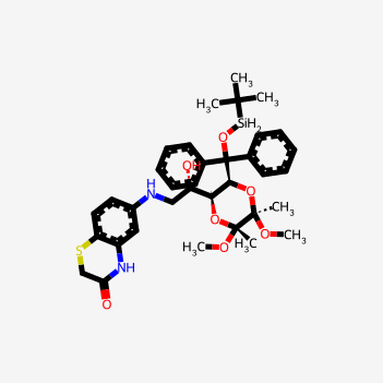 CO[C@]1(C)O[C@@H]([C@@H](O)CNc2ccc3c(c2)NC(=O)CS3)[C@@H](C(O[SiH2]C(C)(C)C)(c2ccccc2)c2ccccc2)O[C@@]1(C)OC